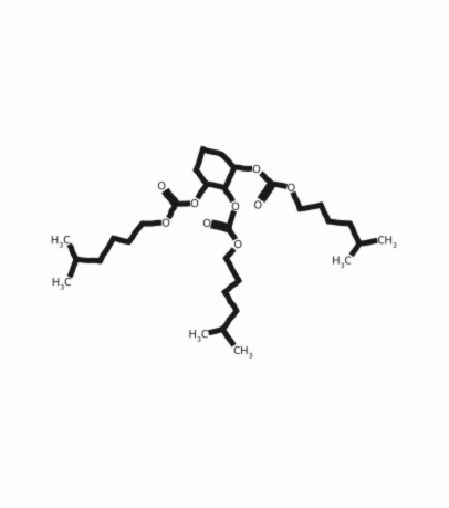 CC(C)CCCCOC(=O)OC1CCCC(OC(=O)OCCCCC(C)C)C1OC(=O)OCCCCC(C)C